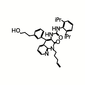 C=CCCCn1c(=O)c(NC(=O)Nc2c(C(C)C)cccc2C(C)C)c(-c2cccc(CCCO)c2)c2cccnc21